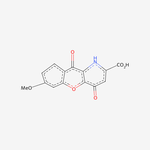 COc1ccc2c(=O)c3[nH]c(C(=O)O)cc(=O)c3oc2c1